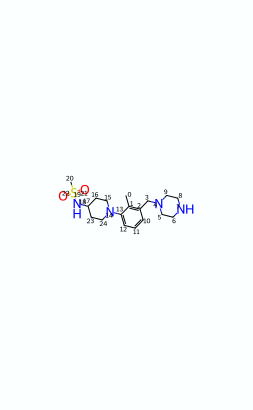 Cc1c(CN2CCNCC2)cccc1N1CCC(NS(C)(=O)=O)CC1